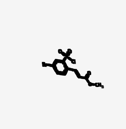 COC(=O)C=Cc1ccc(Br)cc1S(=O)(=O)Cl